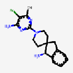 N#Cc1nc(N2CCC3(CC2)Cc2ccccc2[C@H]3N)nc(N)c1Br